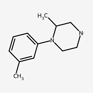 Cc1cccc(N2CC[N]CC2C)c1